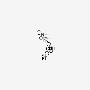 O=C(NC1CCCCC1)c1coc(-c2ccc(NS(=O)(=O)c3ccc(C(F)(F)F)cc3)cc2)n1